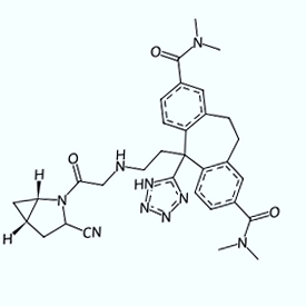 CN(C)C(=O)c1ccc2c(c1)CCc1cc(C(=O)N(C)C)ccc1C2(CCNCC(=O)N1C(C#N)C[C@@H]2C[C@@H]21)c1nnn[nH]1